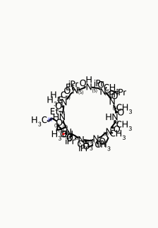 C/C=C/C[C@H]1C[C@@]1(O)[C@H]1C(=O)N[C@@H](CC)C(=O)N(C)[C@H](C)C(=O)N(CC)[C@@H](C(C)C)C(=O)N[C@@H](C(C)C)C(=O)N(C)[C@@H](CC(C)C)C(=O)N[C@@H](C)C(=O)N[C@H](C)C(=O)N(C)[C@@H](CC(C)C)C(=O)N(C)[C@@H](CC(C)C)C(=O)N(C)[C@@H](C(C)C)C(=O)N1C